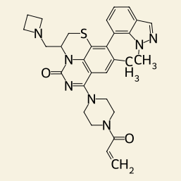 C=CC(=O)N1CCN(c2nc(=O)n3c4c(c(-c5cccc6cnn(C)c56)c(C)cc24)SCC3CN2CCC2)CC1